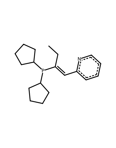 CCC(=Cc1ccccn1)P(C1CCCC1)C1CCCC1